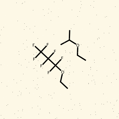 CCOC(C)C.CCOC(F)(F)C(F)(F)C(F)(F)F